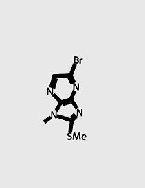 CSc1nc2nc(Br)cnc2n1C